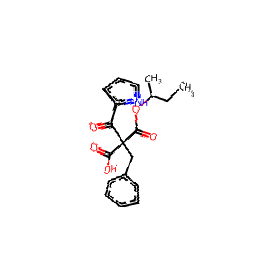 CCC(C)OC(=O)C(Cc1ccccc1)(C(=O)O)C(=O)c1ccc[nH]1